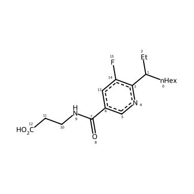 CCCCCCC(CC)c1ncc(C(=O)NCCC(=O)O)cc1F